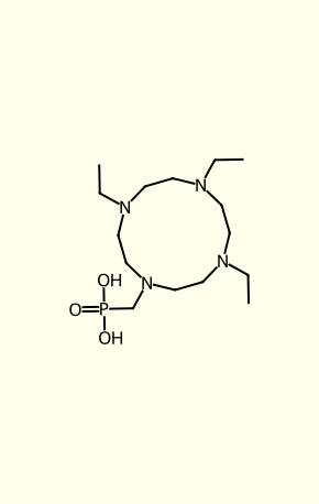 CCN1CCN(CC)CCN(CP(=O)(O)O)CCN(CC)CC1